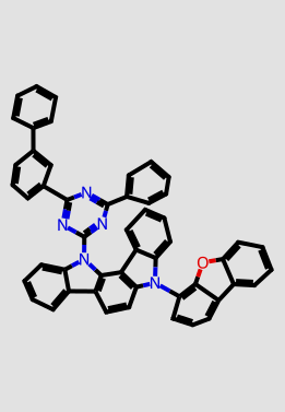 c1ccc(-c2cccc(-c3nc(-c4ccccc4)nc(-n4c5ccccc5c5ccc6c(c7ccccc7n6-c6cccc7c6oc6ccccc67)c54)n3)c2)cc1